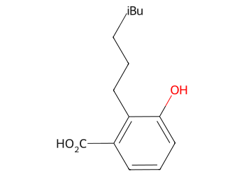 CCC(C)CCCc1c(O)cccc1C(=O)O